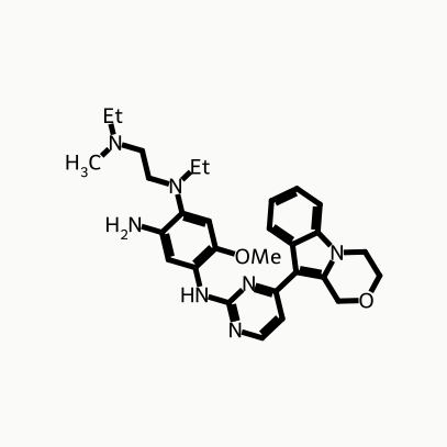 CCN(C)CCN(CC)c1cc(OC)c(Nc2nccc(-c3c4n(c5ccccc35)CCOC4)n2)cc1N